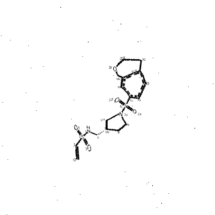 C=CS(=O)(=O)NC[C@H]1CCN(S(=O)(=O)c2ccc3c(c2)OCC3)C1